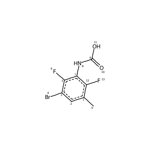 Cc1cc(Br)c(F)c(NC(=O)O)c1F